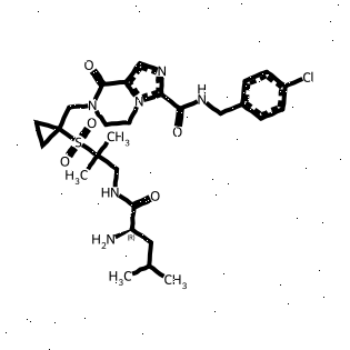 CC(C)C[C@@H](N)C(=O)NCC(C)(C)S(=O)(=O)C1(CN2CCn3c(cnc3C(=O)NCc3ccc(Cl)cc3)C2=O)CC1